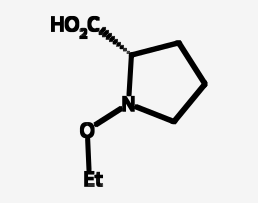 CCON1CCC[C@H]1C(=O)O